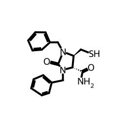 NC(=O)[C@H]1[C@H](CS)N(Cc2ccccc2)C(=O)N1Cc1ccccc1